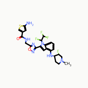 CN1CC[C@@H](Nc2cccc3c2cc(-c2noc(CNC(=O)c4csc(N)c4)n2)n3C(F)C(F)F)[C@@H](F)C1